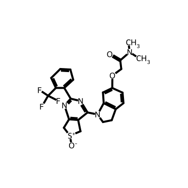 CN(C)C(=O)COc1ccc2c(c1)N(c1nc(-c3ccccc3C(F)(F)F)nc3c1C[S+]([O-])C3)CC2